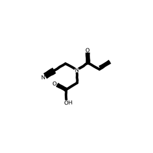 C=CC(=O)N(CC#N)CC(=O)O